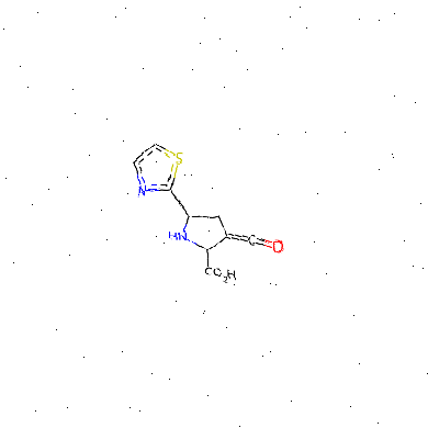 O=C=C1CC(c2nccs2)NC1C(=O)O